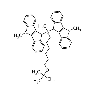 Cn1c2c(c3ccccc31)C(S(C)(CCCCCCOC(C)(C)C)C1c3ccccc3-c3c1c1ccccc1n3C)c1ccccc1-2